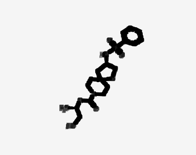 O=C(O[C@H](CO)C(F)(F)F)N1CCC2(CC1)C[C@@H](NS(=O)(=O)c1ccccc1)CO2